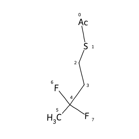 CC(=O)SCCC(C)(F)F